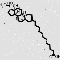 CC(O)[C@H]1CC[C@H]2[C@@H]3CCC4CC(CCCCCCCCCCCC(=O)O)=CC[C@]4(C)[C@H]3CC[C@]12C